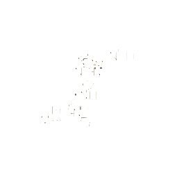 COCc1c(Br)cc(C(=O)Nc2ccc(-c3nn(C4CCN(C(=O)C(C)C)CC4)c4ncnc(N)c34)cc2)c(=O)n1-c1ccc(F)cc1